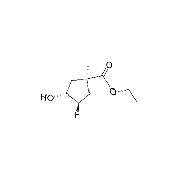 CCOC(=O)[C@]1(C)C[C@@H](O)[C@H](F)C1